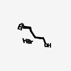 Br.CCCCCO